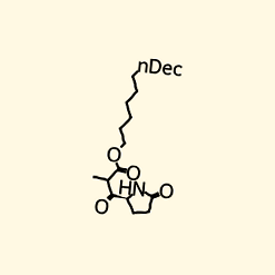 CCCCCCCCCCCCCCCCOC(=O)C(C)C(=O)[C@@H]1CCC(=O)N1